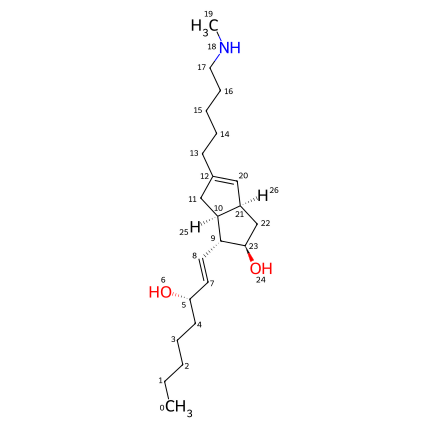 CCCCC[C@H](O)/C=C/[C@@H]1[C@H]2CC(CCCCCNC)=C[C@H]2C[C@H]1O